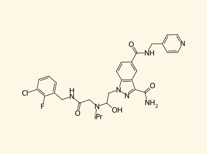 CC(C)N(CC(=O)NCc1cccc(Cl)c1F)C(O)Cn1nc(C(N)=O)c2cc(C(=O)NCc3ccncc3)ccc21